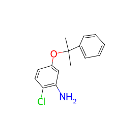 CC(C)(Oc1ccc(Cl)c(N)c1)c1ccccc1